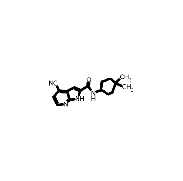 CC1(C)CCC(NC(=O)c2cc3c(C#N)ccnc3[nH]2)CC1